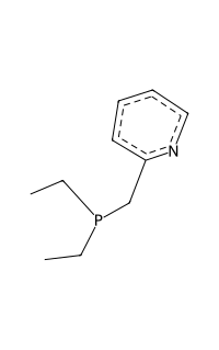 CCP(CC)Cc1ccccn1